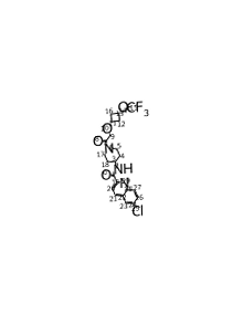 O=C(NC1CCN(C(=O)COC2CC(OC(F)(F)F)C2)CC1)c1ccc2cc(Cl)ccc2n1